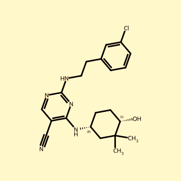 CC1(C)C[C@H](Nc2nc(NCCc3cccc(Cl)c3)ncc2C#N)CC[C@@H]1O